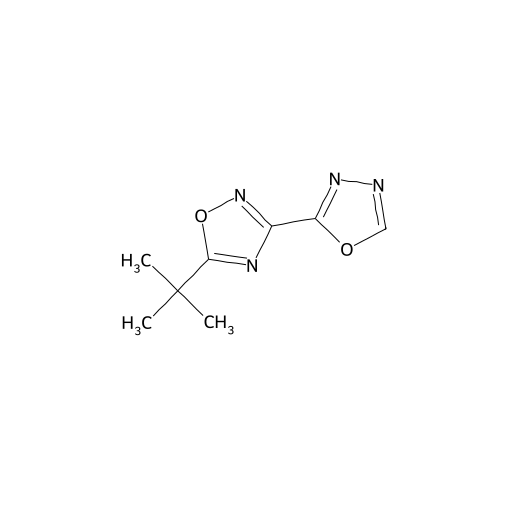 CC(C)(C)c1nc(-c2nnco2)no1